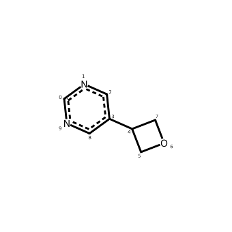 [c]1ncc(C2COC2)cn1